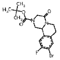 CC(C)(C)OC(=O)N1CC(=O)N2CCc3cc(Br)c(F)cc3C2C1